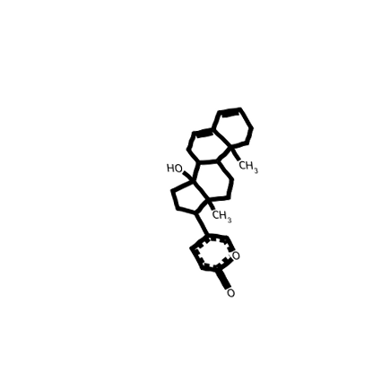 CC12CCC=CC1=CCC1C2CCC2(C)C(c3ccc(=O)oc3)CCC12O